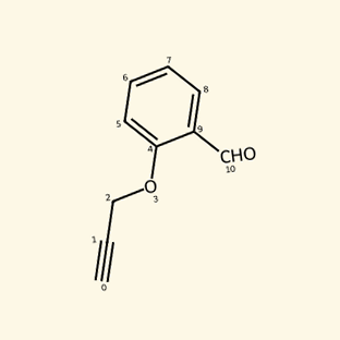 C#CCOc1ccccc1C=O